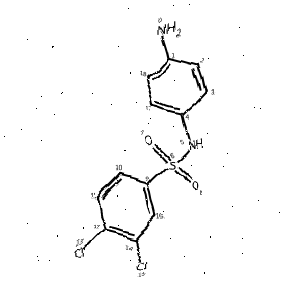 Nc1ccc(NS(=O)(=O)c2ccc(Cl)c(Cl)c2)cc1